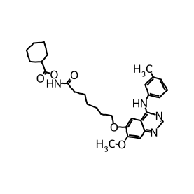 COc1cc2ncnc(Nc3cccc(C)c3)c2cc1OCCCCCCC(=O)NOC(=O)C1CCCCC1